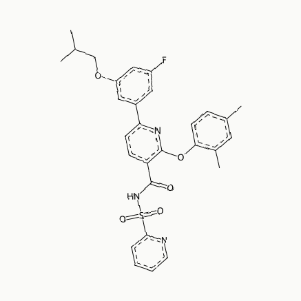 Cc1ccc(Oc2nc(-c3cc(F)cc(OCC(C)C)c3)ccc2C(=O)NS(=O)(=O)c2ccccn2)c(C)c1